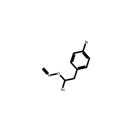 C=NOC(Cc1ccc(Br)cc1)C(C)=O